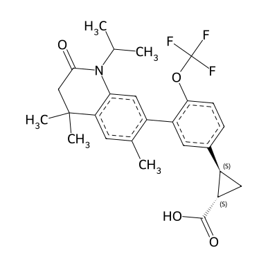 Cc1cc2c(cc1-c1cc([C@H]3C[C@@H]3C(=O)O)ccc1OC(F)(F)F)N(C(C)C)C(=O)CC2(C)C